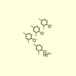 Cc1ccc([O-])c(C)c1.Cc1ccc([O-])c(C)c1.Cc1ccc([O-])c(C)c1.Cc1ccc([O-])c(C)c1.[Hf+4]